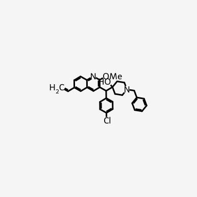 C=Cc1ccc2nc(OC)c(C(c3ccc(Cl)cc3)C3(O)CCN(Cc4ccccc4)CC3)cc2c1